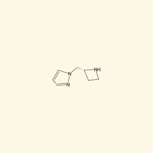 c1cnn(C[C@H]2CCN2)c1